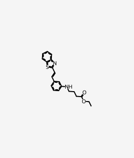 CCOC(=O)CCCNc1cccc(/C=C/c2nc3ccccc3s2)c1